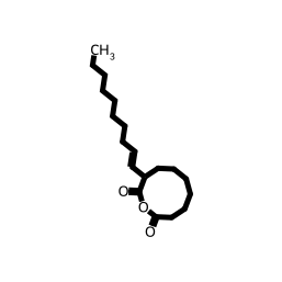 CCCCCCCCC=CC1CCCCCCC(=O)OC1=O